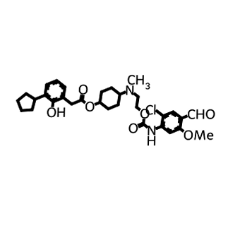 COc1cc(NC(=O)OCCN(C)C2CCC(OC(=O)Cc3cccc(C4CCCC4)c3O)CC2)c(Cl)cc1C=O